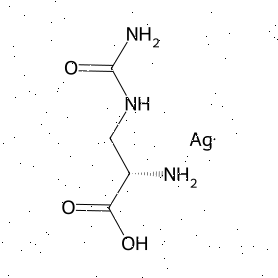 NC(=O)NC[C@H](N)C(=O)O.[Ag]